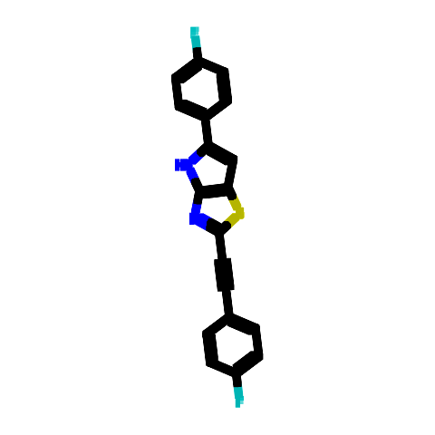 Fc1ccc(C#Cc2nc3[nH]c(-c4ccc(F)cc4)cc3s2)cc1